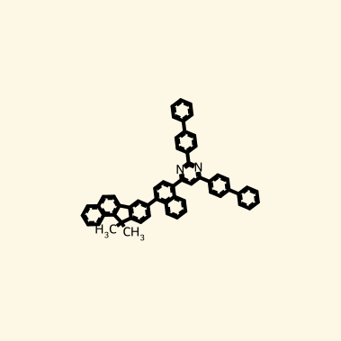 CC1(C)c2ccc(-c3ccc(-c4cc(-c5ccc(-c6ccccc6)cc5)nc(-c5ccc(-c6ccccc6)cc5)n4)c4ccccc34)cc2-c2ccc3ccccc3c21